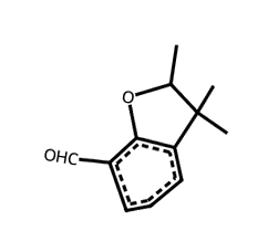 CC1Oc2c(C=O)cccc2C1(C)C